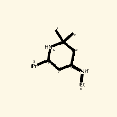 CCNC1CC(C(C)C)NC(C)(C)C1